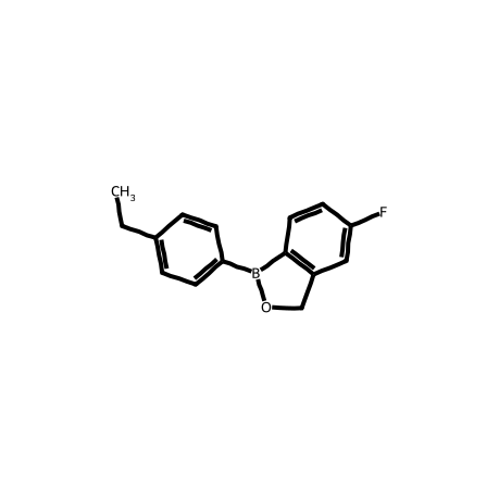 CCc1ccc(B2OCc3cc(F)ccc32)cc1